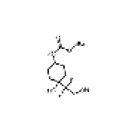 CC(C)(C)OC(=O)NC1CCC(O)(C(F)(F)CO)CC1